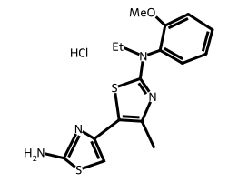 CCN(c1nc(C)c(-c2csc(N)n2)s1)c1ccccc1OC.Cl